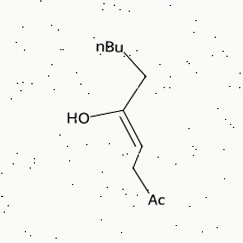 CCCCCC(O)=CCC(C)=O